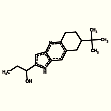 CCC(O)c1cc2nc3c(cc2[nH]1)CC(C(C)(C)C)CC3